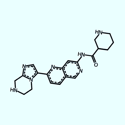 O=C(Nc1cc2nc(-c3cnc4n3CCNC4)ccc2cn1)C1CCCNC1